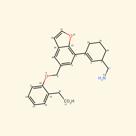 NCC1C=C(c2cc(COc3ccccc3CC(=O)O)cc3ccoc23)CCC1